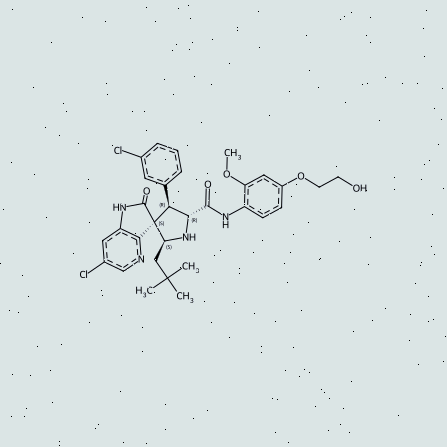 COc1cc(OCCO)ccc1NC(=O)[C@@H]1N[C@@H](CC(C)(C)C)[C@@]2(C(=O)Nc3cc(Cl)cnc32)[C@H]1c1cccc(Cl)c1